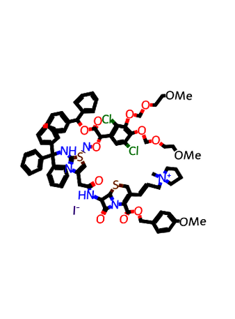 COCCOCOc1c(Cl)cc(C(ON=S2C=C(CC(=O)NC3C(=O)N4C(C(=O)OCc5ccc(OC)cc5)=C(C=CC[N+]5(C)CCCC5)CSC34)N=C2NC(c2ccccc2)(c2ccccc2)c2ccccc2)C(=O)OC(c2ccccc2)c2ccccc2)c(Cl)c1OCOCCOC.[I-]